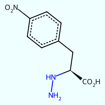 NN[C@@H](Cc1ccc([N+](=O)[O-])cc1)C(=O)O